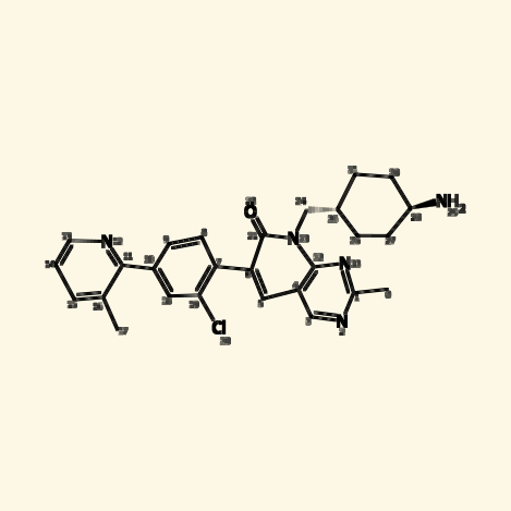 Cc1ncc2cc(-c3ccc(-c4ncccc4C)cc3Cl)c(=O)n(C[C@H]3CC[C@H](N)CC3)c2n1